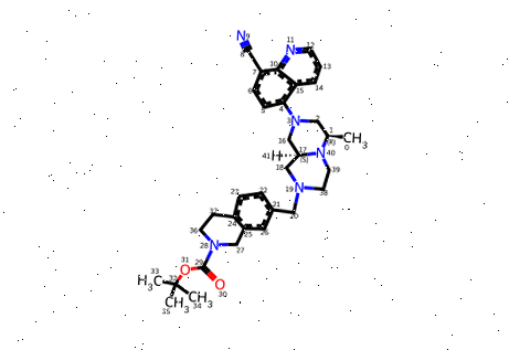 C[C@@H]1CN(c2ccc(C#N)c3ncccc23)C[C@@H]2CN(Cc3ccc4c(c3)CN(C(=O)OC(C)(C)C)CC4)CCN21